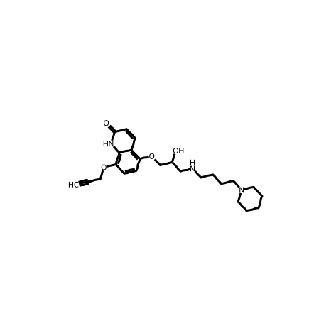 C#CCOc1ccc(OCC(O)CNCCCCN2CCCCC2)c2ccc(=O)[nH]c12